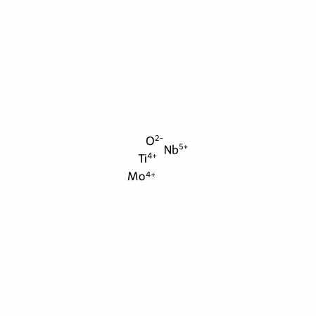 [Mo+4].[Nb+5].[O-2].[Ti+4]